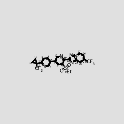 CCS(=O)(=O)c1cc(-c2ccc(C3(C(F)(F)F)CC3)nc2)cnc1-c1nc2cc(C(F)(F)F)ccn2n1